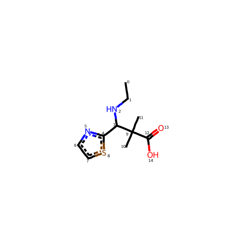 CCNC(c1nccs1)C(C)(C)C(=O)O